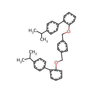 CC(C)c1ccc(-c2ccccc2OCc2ccc(COc3ccccc3-c3ccc(C(C)C)cc3)cc2)cc1